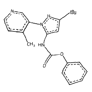 Cc1ccncc1-n1nc(C(C)(C)C)cc1NC(=O)Oc1ccccc1